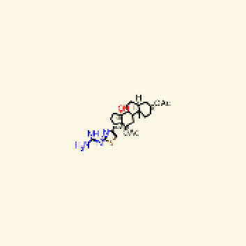 CC(=O)O[C@H]1CC[C@]2(C)C3C[C@@H](OC(C)=O)[C@]4(C)[C@@H](c5csc(N=C(N)N)n5)CC[C@]4(O)C3CC[C@@H]2C1